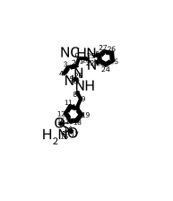 N#CC(c1ccnc(NCCc2ccc(S(N)(=O)=O)cc2)n1)c1nc2ccccc2[nH]1